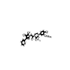 COc1cc(N2CCN(C(=O)Cn3nc(-c4ccccn4)c(Cl)c3C(F)(F)F)C(C)C2)ccc1Cl